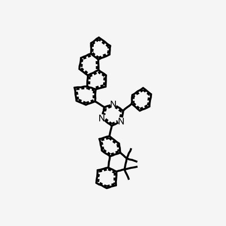 CC1(C)c2ccccc2-c2ccc(-c3nc(-c4ccccc4)nc(-c4cccc5c4ccc4c6ccccc6ccc54)n3)cc2C1(C)C